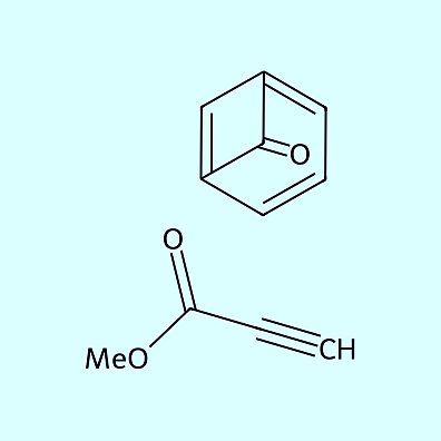 C#CC(=O)OC.O=C1c2cccc1c2